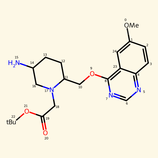 COc1ccc2ncnc(OCC3CCC(N)CN3CC(=O)OC(C)(C)C)c2c1